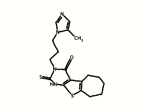 Cc1cncn1CCCn1c(=S)[nH]c2sc3c(c2c1=O)CCCCC3